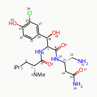 CN[C@H](CC(C)C)C(=O)NC(C(=O)N[C@H](CN)CC(N)=O)[C@H](O)c1ccc(O)c(Cl)c1